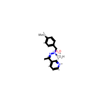 COc1ccc(CN(N=C(C)c2cccnc2)C(=O)O)cc1.O